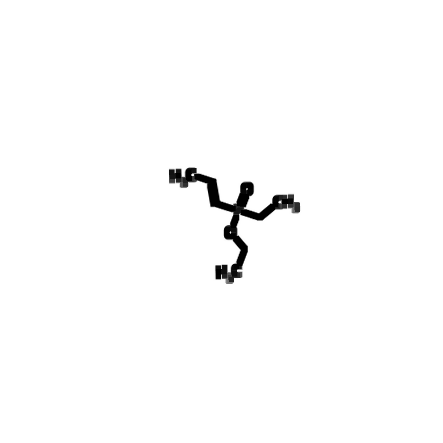 CC=CP(=O)(CC)OCC